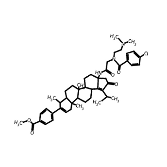 COC(=O)c1ccc(C2=CCC3(C)C(CCC4(C)C5CCC6(NC(=O)CN(CCN(C)C)C(=O)c7ccc(Cl)cc7)CC(=O)C(C(C)C)=C6C5CCC34)C2C)cc1